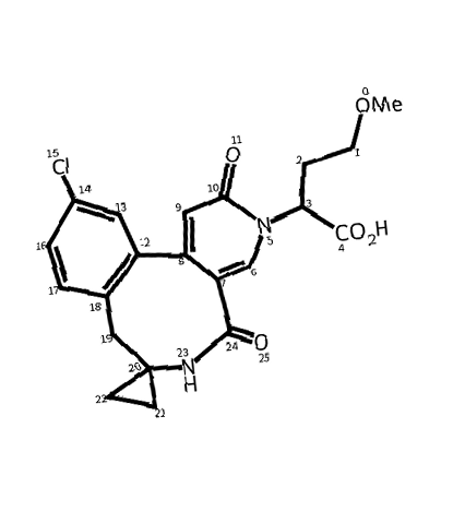 COCCC(C(=O)O)n1cc2c(cc1=O)-c1cc(Cl)ccc1CC1(CC1)NC2=O